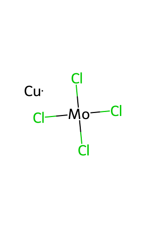 [Cl][Mo]([Cl])([Cl])[Cl].[Cu]